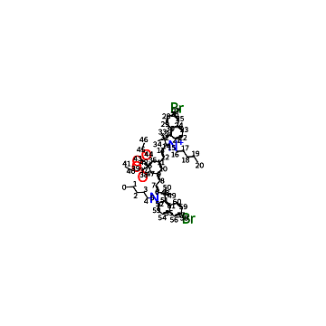 CCCCCN1/C(=C/C=C2C=C(/C=C/C3=[N+](CCCCC)c4ccc5cc(Br)ccc5c4C3(C)C)CC(C(=O)OCC)(C(=O)OCC)C/2)C(C)(C)c2c1ccc1cc(Br)ccc21